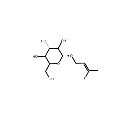 C/C(F)=C/CO[C@@H]1OC(CO)C(O)[C@H](O)C1O